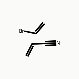 C=CBr.C=CC#N